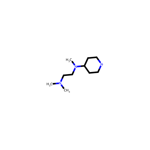 CN(C)CCN(C)C1CC[N]CC1